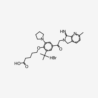 Br.Cc1ccc2c(n1)C(=N)N(CC(=O)c1cc(N3CCCC3)c(OCCCCC(=O)O)c(C(C)(C)C)c1)C2